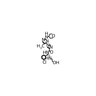 Cc1cnc(NC2CCOCC2)nc1-n1cnc(C(=O)N[C@H](CNCCO)c2cccc(Cl)c2)c1